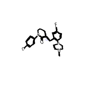 CN1CCN(c2ccc(F)cc2/C=C2\CCCN(c3ccc(Cl)cc3)C2=O)CC1